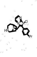 CC(C)c1ccc(-c2c(CN3C4CCNCC3CC4)[n+]3cccnc3n2Cl)cc1